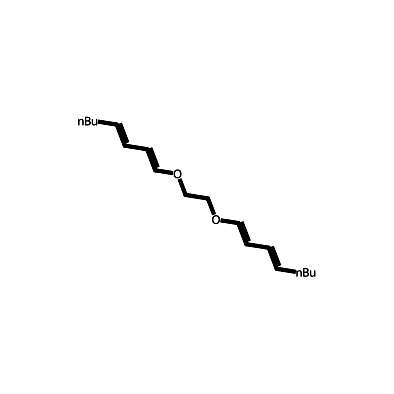 CCCCC=CC=COCCOC=CC=CCCCC